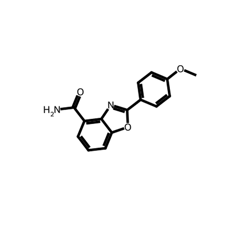 COc1ccc(-c2nc3c(C(N)=O)cccc3o2)cc1